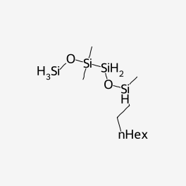 CCCCCCCC[SiH](C)O[SiH2][Si](C)(C)O[SiH3]